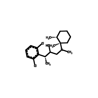 C[C@H](c1c(Cl)cccc1Cl)C(O)CN(C)[C@]1(C)CCCC[C@H]1C